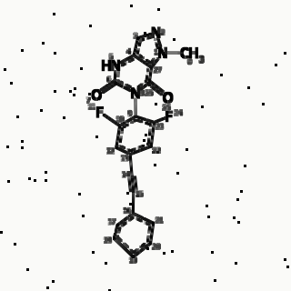 Cn1ncc2[nH]c(=O)n(-c3c(F)cc(C#Cc4ccccc4)cc3F)c(=O)c21